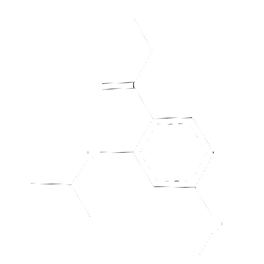 CCC(=O)c1ccc(OC)cc1OC(C)C